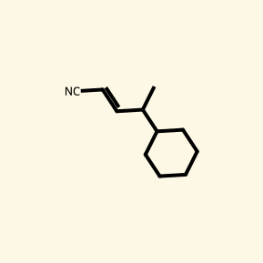 CC(/C=C/C#N)C1CCCCC1